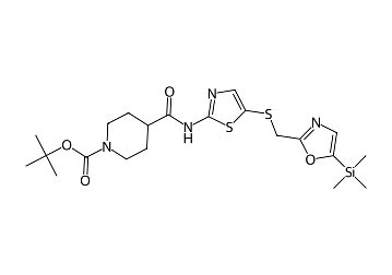 CC(C)(C)OC(=O)N1CCC(C(=O)Nc2ncc(SCc3ncc([Si](C)(C)C)o3)s2)CC1